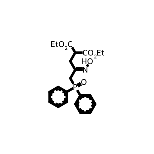 CCOC(=O)C(CC(CP(=O)(c1ccccc1)c1ccccc1)=NO)C(=O)OCC